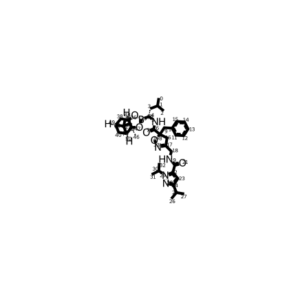 CC(C)C[C@H](NC(=O)C1(Cc2ccccc2)CC(CNC(=O)c2cc(C(C)C)nn2C(C)C)=NO1)B1O[C@@H]2C[C@@H]3C[C@@H](C3(C)C)[C@]2(C)O1